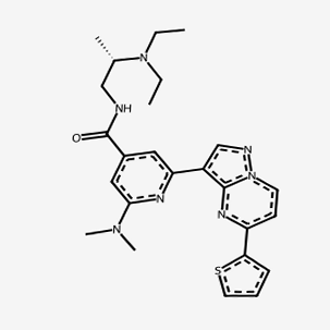 CCN(CC)[C@@H](C)CNC(=O)c1cc(-c2cnn3ccc(-c4cccs4)nc23)nc(N(C)C)c1